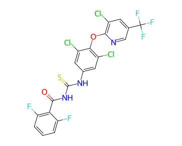 O=C(NC(=S)Nc1cc(Cl)c(Oc2ncc(C(F)(F)F)cc2Cl)c(Cl)c1)c1c(F)cccc1F